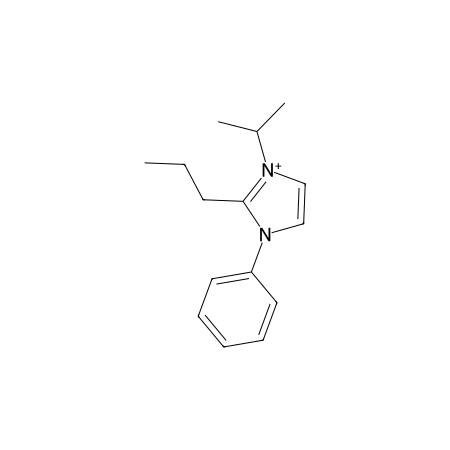 CCCc1n(-c2ccccc2)cc[n+]1C(C)C